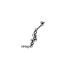 C=CC(=O)OCCCCCCOC1CCC(C(=O)Oc2ccc(OC(=O)c3ccc(OCCCCCCC)cc3)c(I)c2)CC1